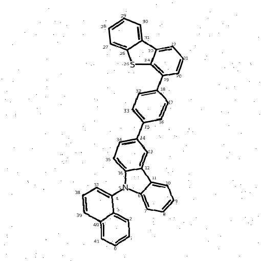 c1ccc2c(-n3c4ccccc4c4cc(-c5ccc(-c6cccc7c6sc6ccccc67)cc5)ccc43)cccc2c1